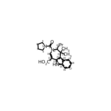 CC(C)C1N(C(=O)N2CCCC2)C=C(C(=O)O)c2[nH]c3ccccc3c2C1(C)C